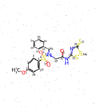 COc1ccc(S(=O)(=O)N(CC(=O)Nc2nc(=S)ss2)Cc2ccccc2)cc1